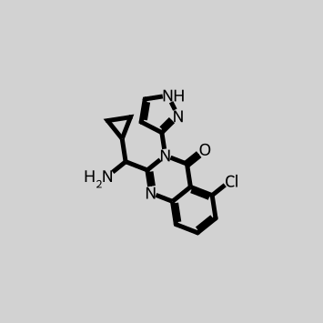 NC(c1nc2cccc(Cl)c2c(=O)n1-c1cc[nH]n1)C1CC1